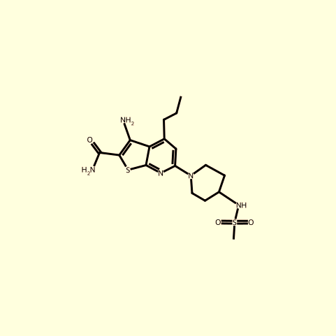 CCCc1cc(N2CCC(NS(C)(=O)=O)CC2)nc2sc(C(N)=O)c(N)c12